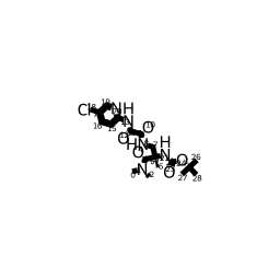 CN(C)C(=O)[C@](C)(CNC(=O)C(=O)Nc1ccc(Cl)cn1)NC(=O)OC(C)(C)C